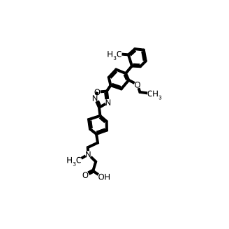 CCOc1cc(-c2nc(-c3ccc(CCN(C)CC(=O)O)cc3)no2)ccc1-c1ccccc1C